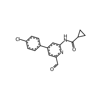 O=Cc1cc(-c2ccc(Cl)cc2)cc(NC(=O)C2CC2)n1